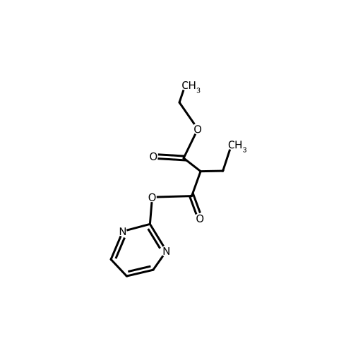 CCOC(=O)C(CC)C(=O)Oc1ncccn1